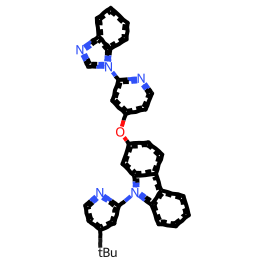 CC(C)(C)c1ccnc(-n2c3ccccc3c3ccc(Oc4ccnc(-n5cnc6ccccc65)c4)cc32)c1